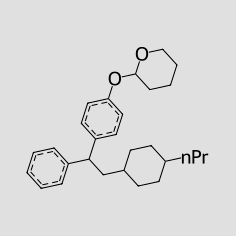 CCCC1CCC(CC(c2ccccc2)c2ccc(OC3CCCCO3)cc2)CC1